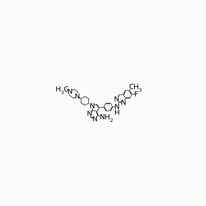 Cc1cc2cnc(Nc3ccc(-c4cn([C@H]5CC[C@H](N6CCN(C)CC6)CC5)c5ncnc(N)c45)cc3)nc2cc1F